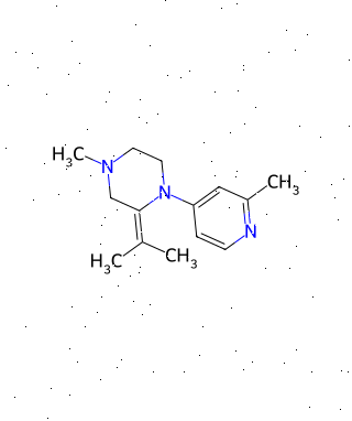 CC(C)=C1CN(C)CCN1c1ccnc(C)c1